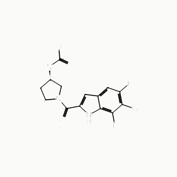 O=C(O)N[C@@H]1CCN(C(=O)c2cc3cc(F)c(Br)c(F)c3[nH]2)C1